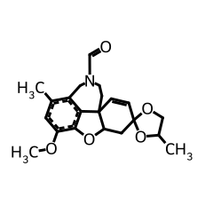 COc1cc(C)c2c3c1OC1CC4(C=CC31CCN(C=O)C2)OCC(C)O4